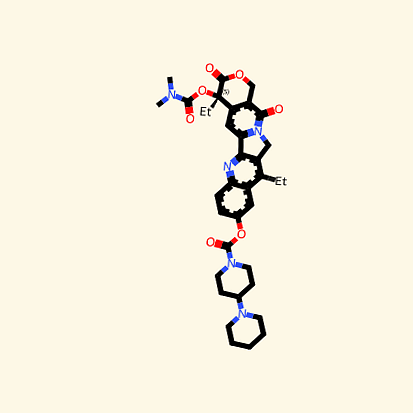 CCc1c2c(nc3ccc(OC(=O)N4CCC(N5CCCCC5)CC4)cc13)-c1cc3c(c(=O)n1C2)COC(=O)[C@@]3(CC)OC(=O)N(C)C